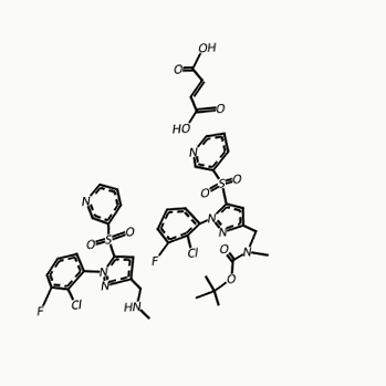 CN(Cc1cc(S(=O)(=O)c2cccnc2)n(-c2cccc(F)c2Cl)n1)C(=O)OC(C)(C)C.CNCc1cc(S(=O)(=O)c2cccnc2)n(-c2cccc(F)c2Cl)n1.O=C(O)/C=C/C(=O)O